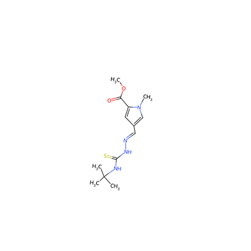 COC(=O)c1cc(C=NNC(=S)NC(C)(C)C)cn1C